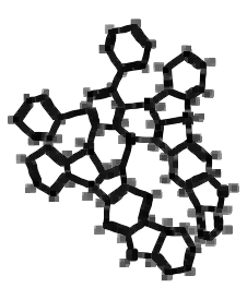 c1ccc(-c2cc(-c3ccccc3)c3c4c2-n2c5ccccc5n5c6cc7oc8ccccc8c7cc6c(c25)B4c2c4cc5c(cc4n4c6ccccc6n-3c24)oc2ccccc25)cc1